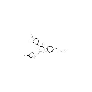 COCc1ccc(C(NC(=O)Cn2ccc(=O)cn2)C(=O)Nc2ccc([Si](C)(C)C)c(F)c2)cc1